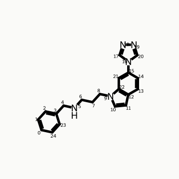 c1ccc(CNCCCn2ccc3ccc(-n4cnnc4)cc32)cc1